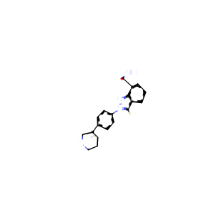 NC(=O)c1cccc2c(F)n(-c3ccc([C@]4(F)CCCNC4)cc3)nc12